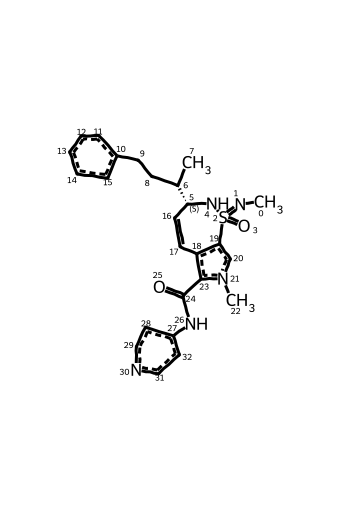 CN=S1(=O)N[C@@H](C(C)CCc2ccccc2)C=Cc2c1cn(C)c2C(=O)Nc1ccncc1